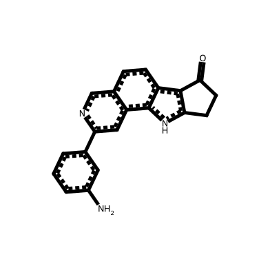 Nc1cccc(-c2cc3c(ccc4c5c([nH]c43)CCC5=O)cn2)c1